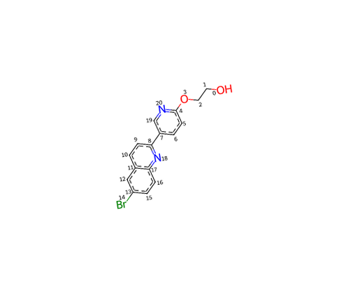 OCCOc1ccc(-c2ccc3cc(Br)ccc3n2)cn1